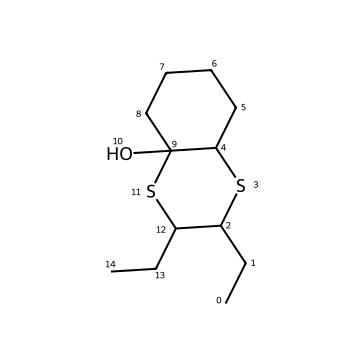 CCC1SC2CCCCC2(O)SC1CC